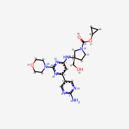 Nc1ncc(-c2cc(N[C@@]3(CO)CCN(C(=O)OC4CC4)C3)nc(N3CCOCC3)n2)cn1